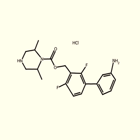 CC1CNCC(C)N1C(=O)OCc1c(F)ccc(-c2cccc(N)c2)c1F.Cl